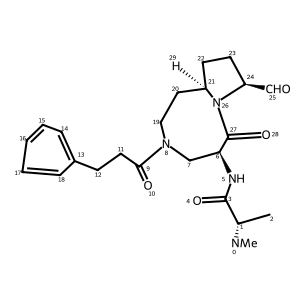 CN[C@@H](C)C(=O)N[C@H]1CN(C(=O)CCc2ccccc2)CC[C@H]2CC[C@@H](C=O)N2C1=O